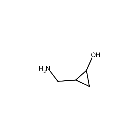 NCC1CC1O